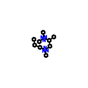 c1ccc(-c2cccc(-c3ccc(-c4nc(-c5ccccc5)nc(-c5cccc(-c6cc(-c7ccccc7)cc(-c7nc(-c8ccccc8)nc(-c8ccccc8)n7)c6)c5)n4)cc3)c2)cc1